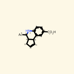 CC(=O)C1Nc2ccc(C(=O)O)cc2C2C=CCC12